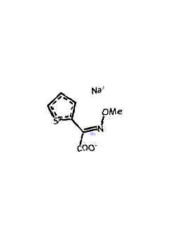 CO/N=C(/C(=O)[O-])c1cccs1.[Na+]